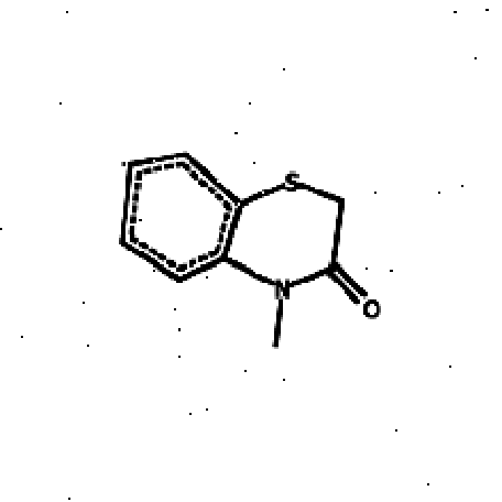 CN1C(=O)CSc2c[c]ccc21